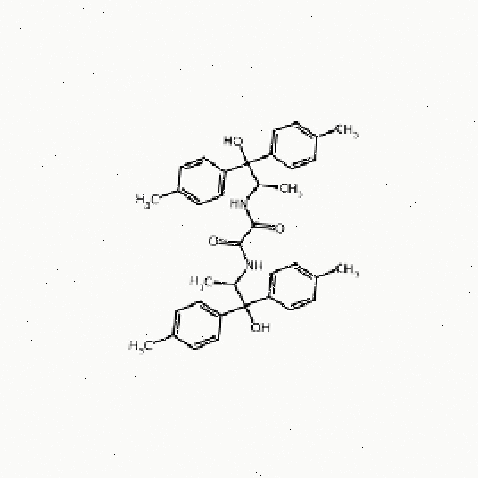 Cc1ccc(C(O)(c2ccc(C)cc2)[C@@H](C)NC(=O)C(=O)N[C@H](C)C(O)(c2ccc(C)cc2)c2ccc(C)cc2)cc1